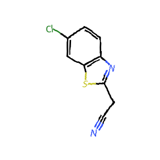 N#CCc1nc2ccc(Cl)cc2s1